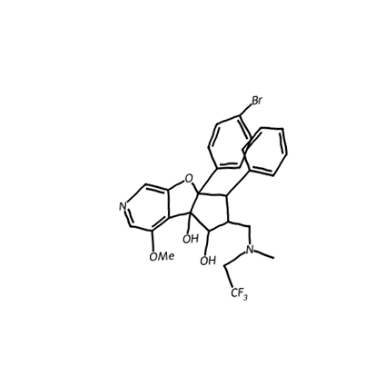 COc1cncc2c1C1(O)C(O)C(CN(C)CC(F)(F)F)C(c3ccccc3)C1(c1ccc(Br)cc1)O2